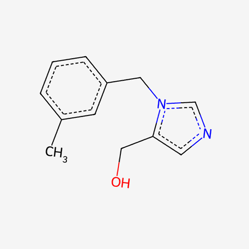 Cc1cccc(Cn2cncc2CO)c1